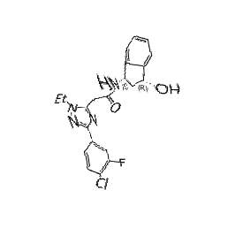 CCn1nc(-c2ccc(Cl)c(F)c2)nc1CC(=O)N[C@H]1C[C@@H](O)c2ccccc21